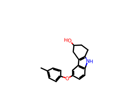 Cc1ccc(Oc2ccc3[nH]c4c(c3c2)CC(O)CC4)cc1